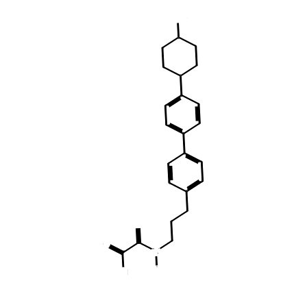 C=C(C)C(=O)N(C)CCCc1ccc(-c2ccc(C3CCC(CCCCC)CC3)cc2)cc1